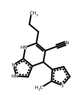 CCCC1=C(C#N)C(c2ccsc2C)c2c[nH]nc2N1